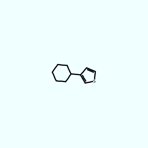 [c]1sccc1C1CCCCC1